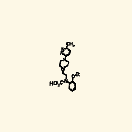 CCOc1ccccc1N(CCN1CCN(c2ccc(C)nn2)CC1)C(=O)O